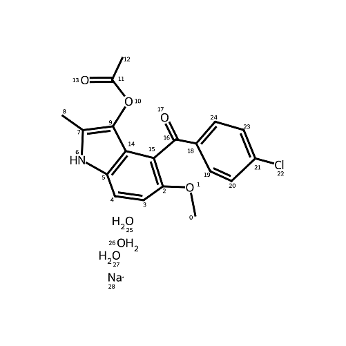 COc1ccc2[nH]c(C)c(OC(C)=O)c2c1C(=O)c1ccc(Cl)cc1.O.O.O.[Na]